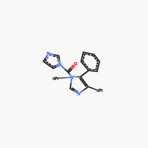 CCCC1=C(c2ccccc2)[N+](CCC)(C(=O)n2ccnc2)C=N1